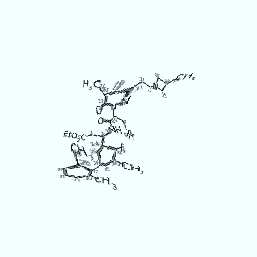 CCOC(=O)CC(NC(=O)C(CC(C)C)n1nc(CCN2CC(C)C2)cc(C)c1=O)c1cc(-c2c(C)cccc2C)cc(C)c1F